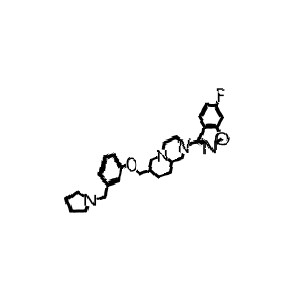 Fc1ccc2c(N3CCN4CC(COc5cccc(CN6CCCC6)c5)CCC4C3)noc2c1